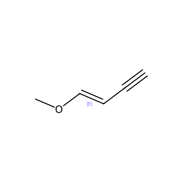 C#C/C=C/OC